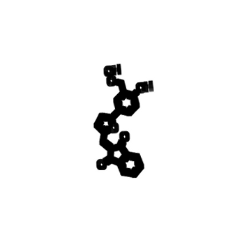 O=C1C(=Cc2ccc(-c3ccc(O)c(COO)c3)o2)C(=O)c2ccccc21